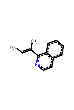 C/C=C(\C)c1nccc2ccccc12